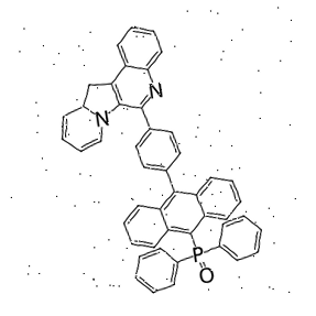 O=P(c1ccccc1)(c1ccccc1)c1c2ccccc2c(-c2ccc(-c3nc4ccccc4c4c3N3C=CC=CC3C4)cc2)c2ccccc12